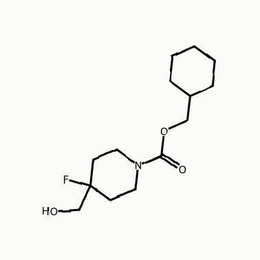 O=C(OCC1CCCCC1)N1CCC(F)(CO)CC1